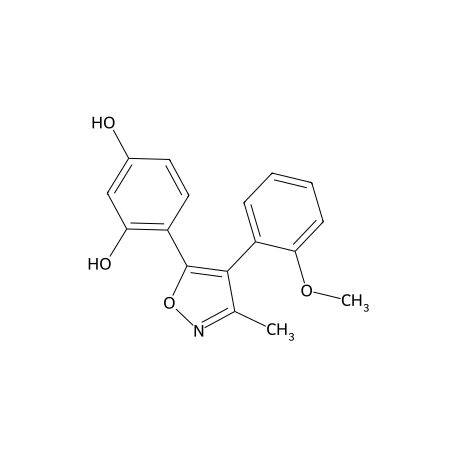 COc1ccccc1-c1c(C)noc1-c1ccc(O)cc1O